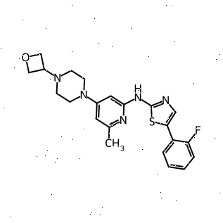 Cc1cc(N2CCN(C3COC3)CC2)cc(Nc2ncc(-c3ccccc3F)s2)n1